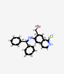 Clc1nccc2cc(N=C(c3ccccc3)c3ccccc3)c(CBr)cc12